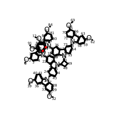 COc1ccc2c(c1)c1cc(OC)ccc1n2-c1ccc2c(c1)c1cc(-n3c4ccc(OC)cc4c4cc(OC)ccc43)ccc1n2C1CCC1n1c2ccc(-n3c4ccc(OC)cc4c4cc(OC)ccc43)cc2c2cc(-n3c4ccc(OC)cc4c4cc(OC)ccc43)ccc21